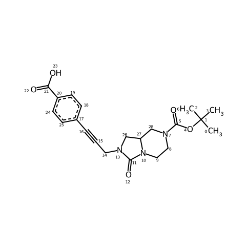 CC(C)(C)OC(=O)N1CCN2C(=O)N(CC#Cc3ccc(C(=O)O)cc3)CC2C1